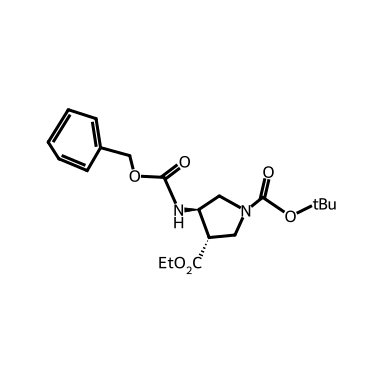 CCOC(=O)[C@H]1CN(C(=O)OC(C)(C)C)C[C@@H]1NC(=O)OCc1ccccc1